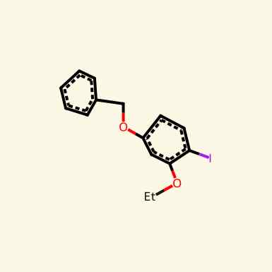 CCOc1cc(OCc2ccccc2)ccc1I